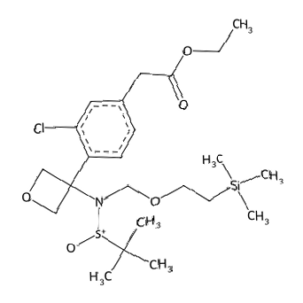 CCOC(=O)Cc1ccc(C2(N(COCC[Si](C)(C)C)[S+]([O-])C(C)(C)C)COC2)c(Cl)c1